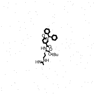 CC(=N)NCCC[C@H](NC(=O)c1ccc(=O)n(C(c2ccccc2)c2ccccc2)c1)C(=O)OC(C)(C)C